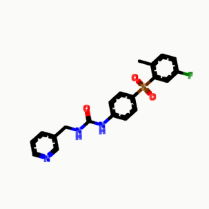 Cc1ccc(F)cc1S(=O)(=O)c1ccc(NC(=O)NCc2cccnc2)cc1